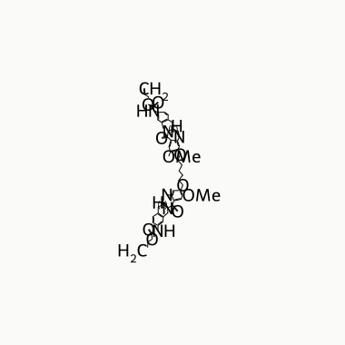 C=CCOC(=O)Nc1ccc2c(c1)CN1C(=O)c3cc(OC)c(OCCCCCOc4cc5c(cc4OC)C(=O)N4Cc6cc(NC(=O)OCC=C)ccc6C[C@H]4C=N5)cc3N=C[C@@H]1C2